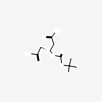 CC(C)(C)OC(=O)N[C@@H](CC(N)=O)CC(=O)O